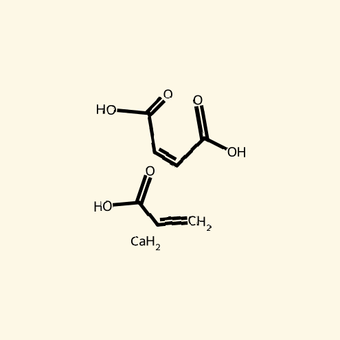 C=CC(=O)O.O=C(O)/C=C\C(=O)O.[CaH2]